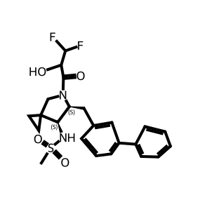 CS(=O)(=O)N[C@@H]1[C@H](Cc2cccc(-c3ccccc3)c2)N(C(=O)C(O)C(F)F)CC12CC2